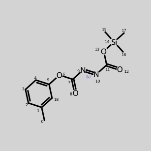 Cc1cccc(OC(=O)/N=N/C(=O)O[Si](C)(C)C)c1